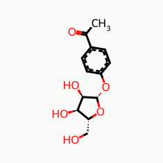 CC(=O)c1ccc(O[C@@H]2O[C@H](CO)[C@@H](O)[C@H]2O)cc1